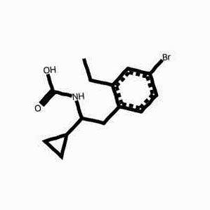 CCc1cc(Br)ccc1CC(NC(=O)O)C1CC1